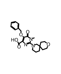 Cn1c(N2CCCC3(CCOCC3)C2)nc(C(=O)O)c(OCc2ccccc2)c1=O